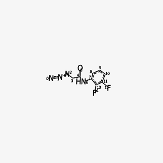 [N-]=[N+]=NCC(=O)Nc1cccc(F)c1F